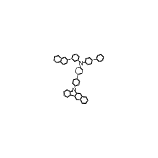 C1=C(c2ccc(-n3c4ccccc4c4cc5ccccc5cc43)cc2)CCC(N(c2ccc(-c3ccccc3)cc2)c2cccc(-c3ccc4ccccc4c3)c2)=C1